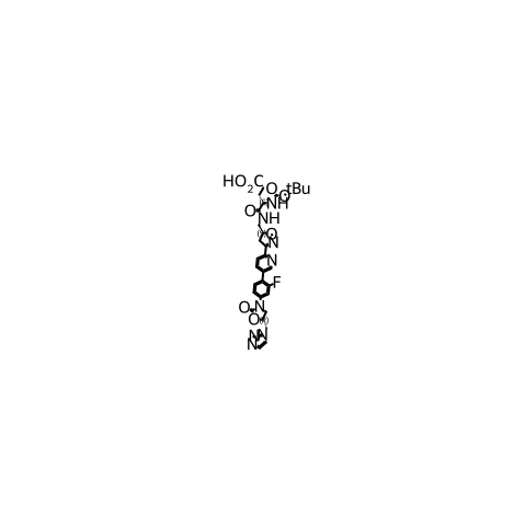 CC(C)(C)OC(=O)N[C@@H](CCC(=O)O)C(=O)NC[C@@H]1CC(c2ccc(-c3ccc(N4C[C@H](Cn5ccnn5)OC4=O)cc3F)cn2)=NO1